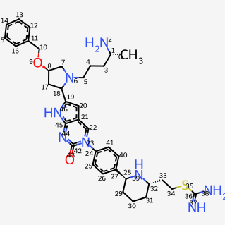 C[C@@H](N)CCCN1C[C@H](OCc2ccccc2)CC1c1cc2cn(-c3ccc([C@@H]4CCC[C@@H](CCSC(=N)N)N4)cc3)c(=O)nc2[nH]1